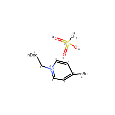 CCCCCCCCCCC[n+]1ccc(CCCC)cc1.O=S(=O)([O-])C(F)(F)F